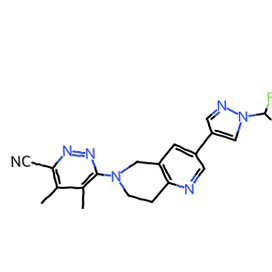 Cc1c(C#N)nnc(N2CCc3ncc(-c4cnn(C(F)F)c4)cc3C2)c1C